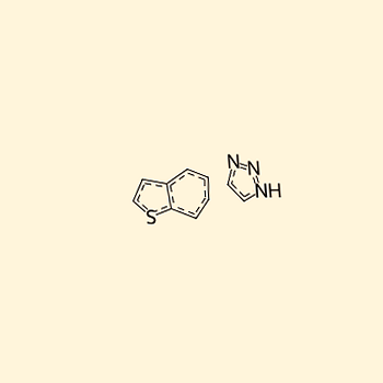 c1c[nH]nn1.c1ccc2sccc2c1